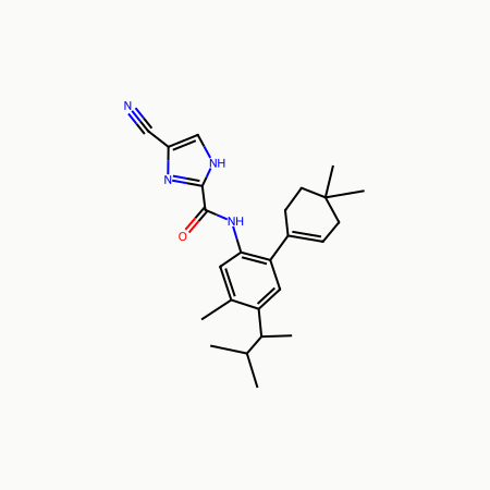 Cc1cc(NC(=O)c2nc(C#N)c[nH]2)c(C2=CCC(C)(C)CC2)cc1C(C)C(C)C